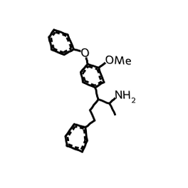 COc1cc(C(CCc2ccccc2)C(C)N)ccc1Oc1ccccc1